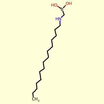 CCCCCCCCCCCCCCCNCB(O)O